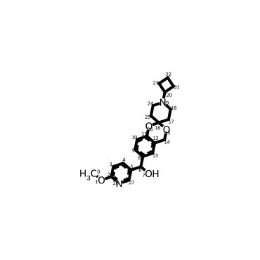 COc1ccc(C(O)c2ccc3c(c2)COC2(CCN(C4CCC4)CC2)O3)cn1